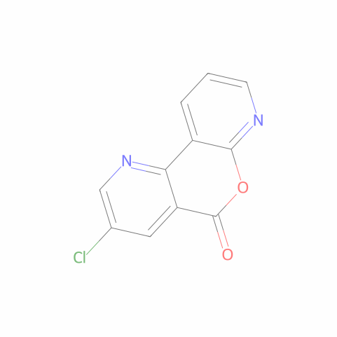 O=c1oc2ncccc2c2ncc(Cl)cc12